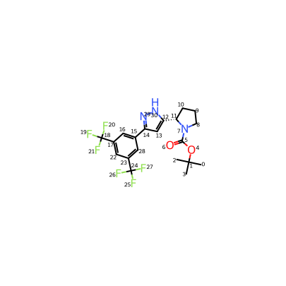 CC(C)(C)OC(=O)N1CCC[C@H]1c1cc(-c2cc(C(F)(F)F)cc(C(F)(F)F)c2)n[nH]1